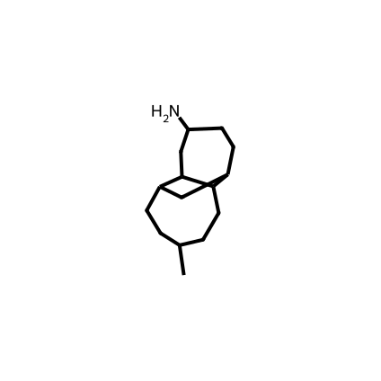 CC1CCC2CC3CCC(N)CC2C3CC1